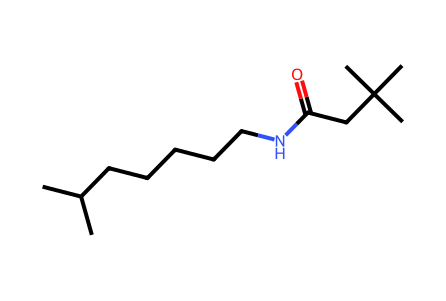 CC(C)CCCCCNC(=O)CC(C)(C)C